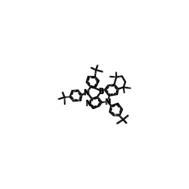 CC(C)(C)c1ccc(N2c3cc4c(cc3B3c5cc(C(C)(C)C)ccc5N(c5ccc(C(C)(C)C)cc5)c5nccc2c53)C(C)(C)CCC4(C)C)cc1